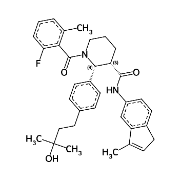 CC1=CCc2ccc(NC(=O)[C@H]3CCCN(C(=O)c4c(C)cccc4F)[C@H]3c3ccc(CCC(C)(C)O)cc3)cc21